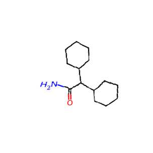 NC(=O)C(C1CCCCC1)C1CCCCC1